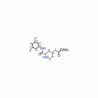 COC(=O)CC1CCN[C@H](C(=O)Nc2cc(C)cc(C)c2)C1